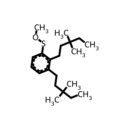 CCC(C)(C)CCc1cccc(SOC)c1CCC(C)(C)CC